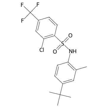 Cc1cc(C(C)(C)C)ccc1NS(=O)(=O)c1ccc(C(F)(F)F)cc1Cl